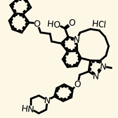 Cl.Cn1nc(COc2ccc(N3CCNCC3)cc2)c2c1CCCCCCn1c(C(=O)O)c(CCCOc3cccc4ccccc34)c3cccc-2c31